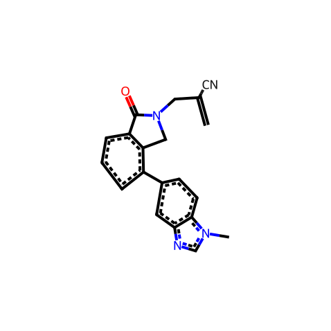 C=C(C#N)CN1Cc2c(cccc2-c2ccc3c(c2)ncn3C)C1=O